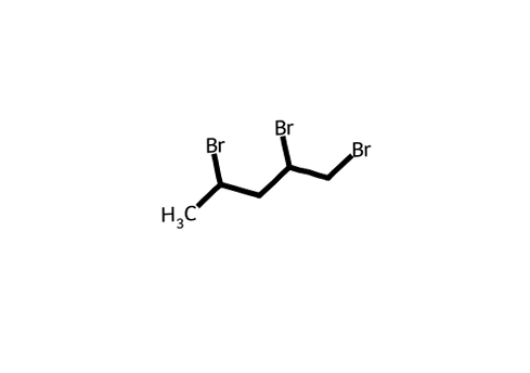 CC(Br)CC(Br)CBr